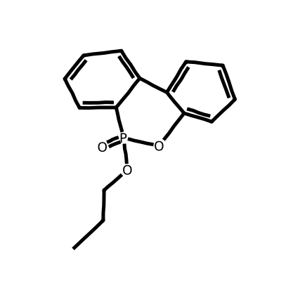 CCCOP1(=O)Oc2ccccc2-c2ccccc21